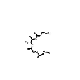 COCC(C)OCC(C)OCC(C)OC(=O)CCC(=O)O.[Zn]